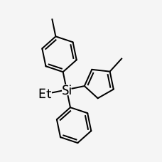 CC[Si](C1=CC(C)=CC1)(c1ccccc1)c1ccc(C)cc1